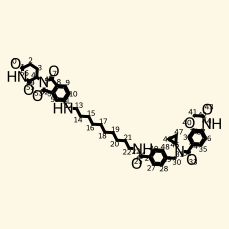 O=C1CCC(N2C(=O)c3ccc(NCCCCCCCCCCNC(=O)c4ccc(CN(C(=O)c5ccc6c(c5)OCC(=O)N6)C5CC5)cc4)cc3C2=O)C(=O)N1